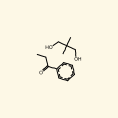 CC(C)(CO)CO.CCC(=O)c1ccccc1